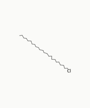 CCCCCCCCCCCCCCCCCCCCCCCCCl